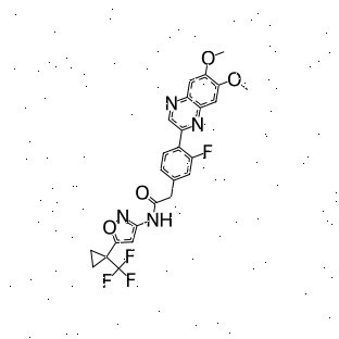 COc1cc2ncc(-c3ccc(CC(=O)Nc4cc(C5(C(F)(F)F)CC5)on4)cc3F)nc2cc1OC